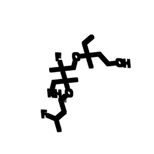 CCC(C)(CCO)OCC(C)(F)C(C)(CN)OCCC(C)F